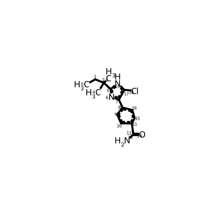 CCC(C)(C)c1nc(-c2ccc(C(N)=O)cc2)c(Cl)[nH]1